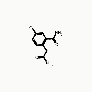 NC(=O)[CH]c1ccc(Cl)cc1C(N)=O